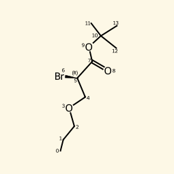 CCCOC[C@@H](Br)C(=O)OC(C)(C)C